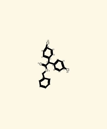 O=C(OCc1ccccc1)C(c1ccc(Cl)cc1)c1ccc(Cl)cc1